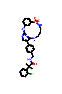 CC(C)(C(=O)NCc1ccc(-c2cnc3nc2NCCCNS(=O)(=O)c2cccc(c2)N3)cc1)c1ccccc1Cl